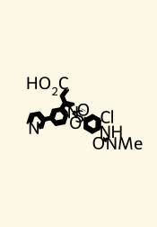 CNC(=O)Nc1ccc(S(=O)(=O)n2cc(CCC(=O)O)c3cc(-c4cccnc4)ccc32)cc1Cl